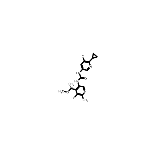 CO[C@H](C)c1c(NC(=O)Nc2cnc(C3CC3)c(Cl)c2)cnc(C)c1Br